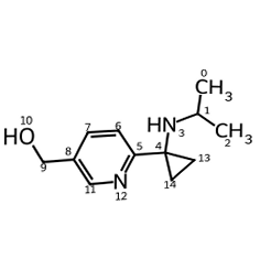 CC(C)NC1(c2ccc(CO)cn2)CC1